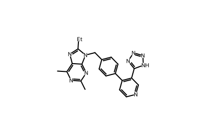 CCc1nc2c(C)nc(C)nc2n1Cc1ccc(-c2ccncc2-c2nnn[nH]2)cc1